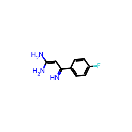 N=C(C=C(N)N)c1ccc(F)cc1